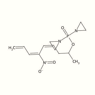 C=C/C=C(\C=C/CC(C)OP(=O)(N1CC1)N1CC1)[N+](=O)[O-]